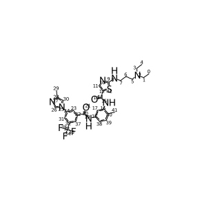 CCN(CC)CCCNc1ncc(C(=O)Nc2cc(NC(=O)c3cc(-n4cnc(C)c4)cc(C(F)(F)F)c3)ccc2C)s1